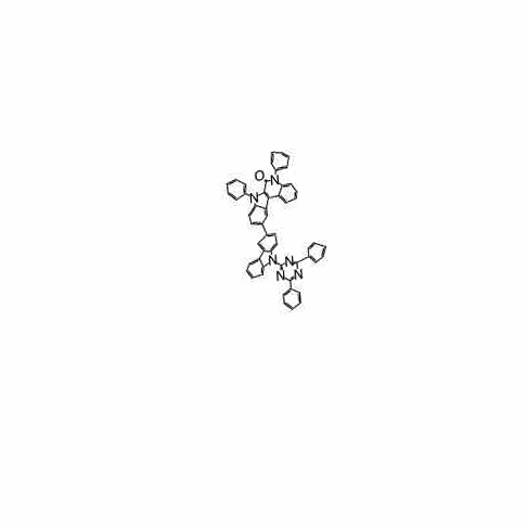 O=c1c2c(c3ccccc3n1-c1ccccc1)c1cc(-c3ccc4c(c3)c3ccccc3n4-c3nc(-c4ccccc4)nc(-c4ccccc4)n3)ccc1n2-c1ccccc1